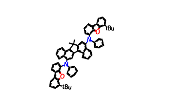 CC(C)(C)c1cccc2c1oc1c(N(c3ccccc3)c3cc4c(c5ccccc35)-c3cc(N(c5ccccc5)c5cccc6c5oc5c(C(C)(C)C)cccc56)c5ccccc5c3C4(C)C)cccc12